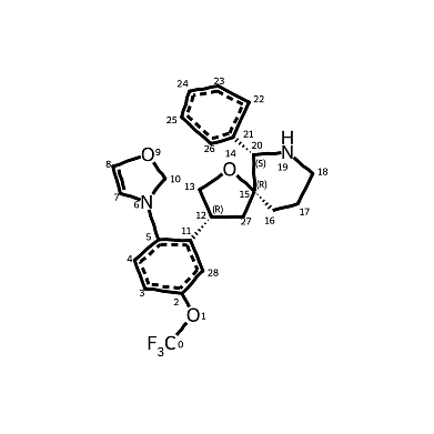 FC(F)(F)Oc1ccc(N2C=COC2)c([C@@H]2CO[C@]3(CCCN[C@H]3c3ccccc3)C2)c1